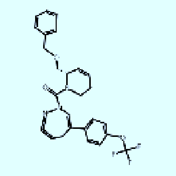 O=C(N1C=C(c2ccc(OC(F)(F)F)cc2)CC=C=N1)N1CCC=C[C@H]1COCc1ccccc1